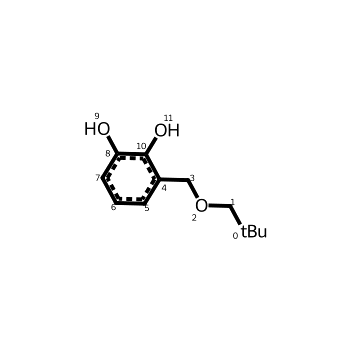 CC(C)(C)COCc1cccc(O)c1O